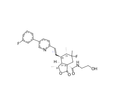 C[C@H]1OC(=O)[C@]2(C(=O)NCCO)CC(C)(F)[C@@H](C)[C@H](/C=C/c3ccc(-c4cccc(F)c4)cn3)[C@H]12